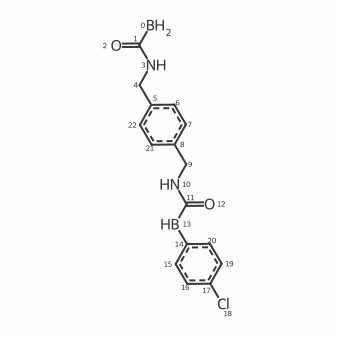 BC(=O)NCc1ccc(CNC(=O)Bc2ccc(Cl)cc2)cc1